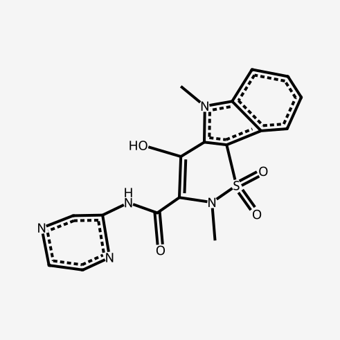 CN1C(C(=O)Nc2cnccn2)=C(O)c2c(c3ccccc3n2C)S1(=O)=O